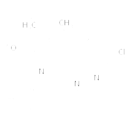 CC1(C)C(=O)N(C2CC2)c2nnc(Cl)cc21